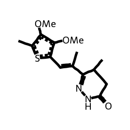 COc1c(C)sc(C=C(C)C2=NNC(=O)CC2C)c1OC